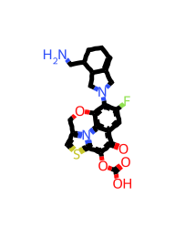 NCC1CCC=C2CN(c3c(F)cc4c(=O)c(OC(=O)O)c5scc6n5c4c3OC6)CC21